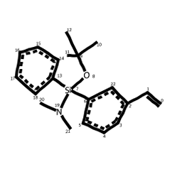 C=Cc1cccc([Si](OC(C)(C)C)(c2ccccc2)N(C)C)c1